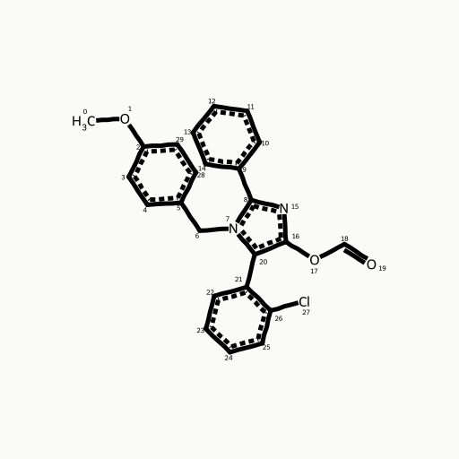 COc1ccc(Cn2c(-c3ccccc3)nc(OC=O)c2-c2ccccc2Cl)cc1